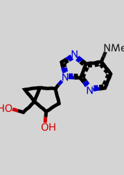 CNc1ccnc2c1ncn2C1CC(O)C2(CO)CC12